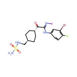 NS(=O)(=O)NC[C@H]1CC[C@H](C(=O)/C(=N/I)Nc2ccc(F)c(Br)c2)CC1